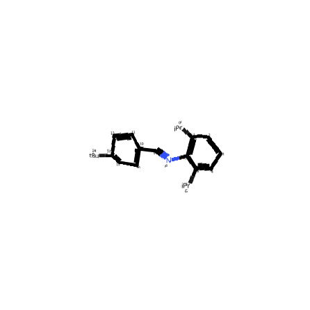 CC(C)c1cccc(C(C)C)c1/N=C/c1ccc(C(C)(C)C)cc1